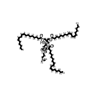 CCCCC/C=C\C/C=C\CCCCCCCC(=O)OCC(COC(=O)CCCCCCC/C=C\C/C=C\CCCCC)(COC(=O)CCCCCCC/C=C\C/C=C\CCCCC)NCCS(=O)(=O)OCCCN(C)C